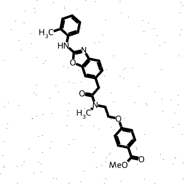 COC(=O)c1ccc(OCCN(C)C(=O)Cc2ccc3nc(Nc4ccccc4C)oc3c2)cc1